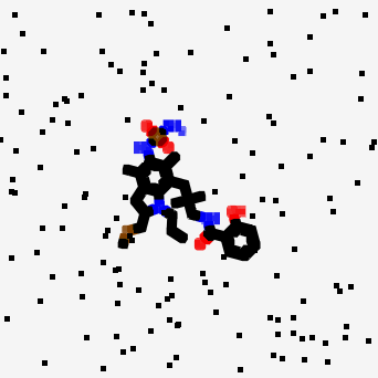 CCCN1c2c(c(C)c(NS(N)(=O)=O)c(C)c2CC(C)(C)CNC(=O)c2ccccc2O)CC1CSC